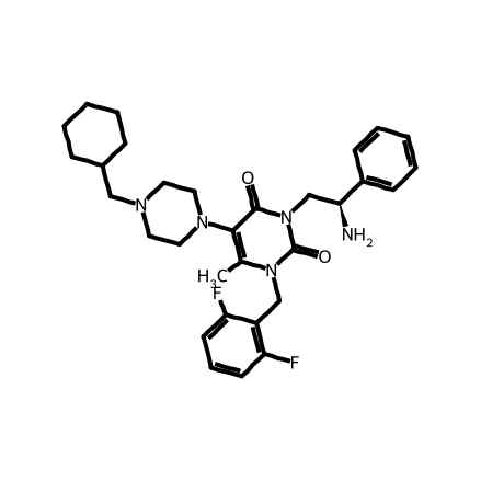 Cc1c(N2CCN(CC3CCCCC3)CC2)c(=O)n(C[C@H](N)c2ccccc2)c(=O)n1Cc1c(F)cccc1F